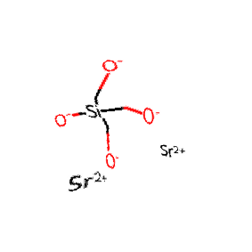 [O-][Si]([O-])([O-])[O-].[Sr+2].[Sr+2]